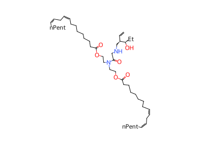 C=C[C@H](CNCC(=O)N(CCOC(=O)CCCCCCC/C=C\C/C=C\CCCCC)CCOC(=O)CCCCCCC/C=C\C/C=C\CCCCC)[C@H](O)CC